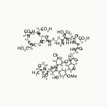 COc1cc2c(cc1-c1cncc(NC(=O)CCNC(=O)[C@@H](CC(=O)O)NC(=O)[C@@H](CC(=O)O)NC(=O)[C@H](N)CCCNC(=O)CN3CCN(CC(=O)O)CCN(CC(=O)O)CCN(CC(=O)O)CC3)c1)-c1c(c(C(=O)N3CCOCC3(C)C)nn1-c1cc(Cl)cc(Cl)c1)CO2